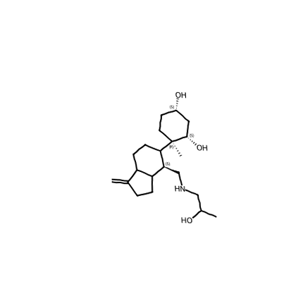 C=C1CCC2C1CCC([C@@]1(C)CC[C@H](O)C[C@@H]1O)[C@H]2CNCC(C)O